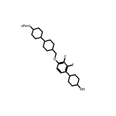 CCCCCC1CCC(C2CCC(COc3ccc(C4CCC(CCC)CC4)c(F)c3F)CC2)CC1